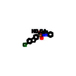 O=C(O)[C@@]1(NS(=O)(=O)c2ccc3c(c2)Cc2cc(Cl)ccc2-3)C[C@H]1c1ccccc1